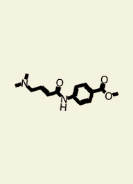 COC(=O)c1ccc(NC(=O)C=CCN(C)C)cc1